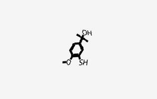 COc1ccc(C(C)(C)O)cc1S